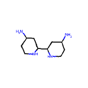 NC1CCNC(C2CC(N)CCN2)C1